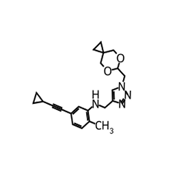 Cc1ccc(C#CC2CC2)cc1NCc1cn(CC2OCC3(CC3)CO2)nn1